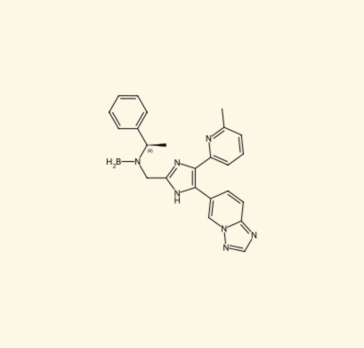 BN(Cc1nc(-c2cccc(C)n2)c(-c2ccc3ncnn3c2)[nH]1)[C@H](C)c1ccccc1